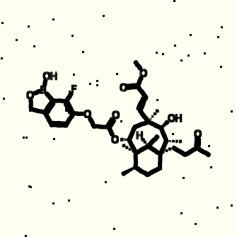 COC(=O)/C=C/[C@]1(C)C[C@@H](OC(=O)COc2ccc3c(c2F)B(O)OC3)[C@]2(C)[C@H](C)CC[C@](CCC(C)=O)([C@@H](C)[C@@H]1O)[C@@H]2C